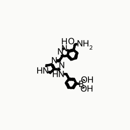 NC(=O)c1cccc2c(-c3nc4c(c(NCc5cccc(B(O)O)c5)n3)CNC4)n[nH]c12